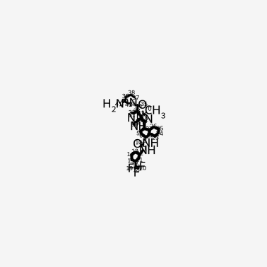 Cc1nc(-c2ccc(NC(=O)Nc3cccc(C(F)(F)F)c3)c3ccccc23)c2c(N)ncc(C(=O)N3CCC[C@@H](N)C3)n12